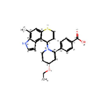 CCO[C@@H]1CCN(C2CCSc3cc(C)c4[nH]ccc4c32)[C@@H](c2ccc(C(=O)O)cc2)C1